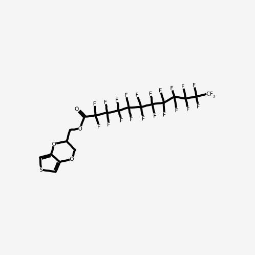 O=C(OCC1COc2cscc2O1)C(F)(F)C(F)(F)C(F)(F)C(F)(F)C(F)(F)C(F)(F)C(F)(F)C(F)(F)C(F)(F)C(F)(F)C(F)(F)F